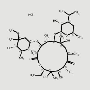 CC[C@H]1OC(=O)[C@H](C)[C@@H](O[C@H]2C[C@@](C)(OC)[C@@H](O)[C@H](C)O2)[C@H](C)[C@@H](O[C@@H]2O[C@H](C)C[C@H](N(C)C)[C@H]2O)[C@](C)(O)C[C@@H](C)C(=O)[C@H](C)[C@@H](O)[C@]1(C)O.Cl